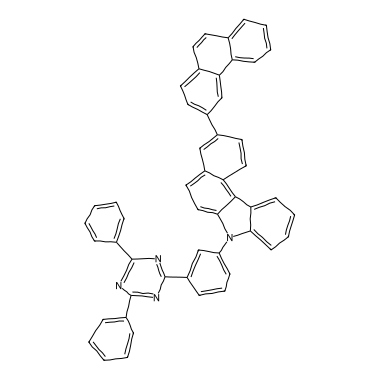 c1ccc(-c2nc(-c3ccccc3)nc(-c3cccc(-n4c5ccccc5c5c6ccc(-c7ccc8ccc9ccccc9c8c7)cc6ccc54)c3)n2)cc1